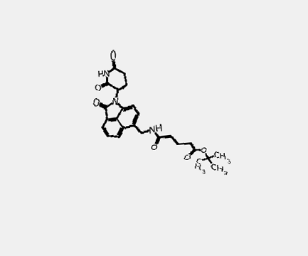 CC(C)(C)OC(=O)CCCC(=O)NCc1ccc2c3c(cccc13)C(=O)N2C1CCC(=O)NC1=O